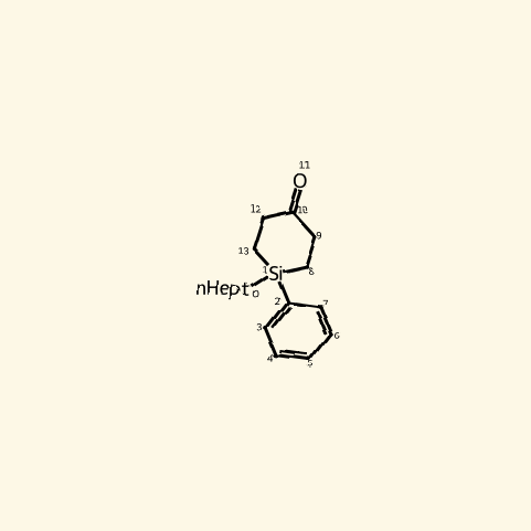 CCCCCCC[Si]1(c2ccccc2)CCC(=O)CC1